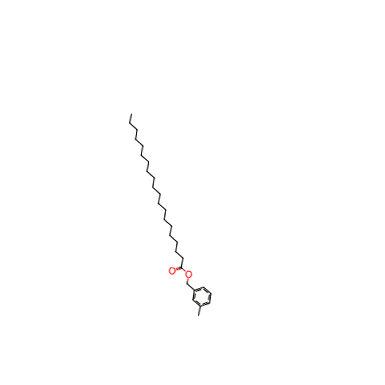 CCCCCCCCCCCCCCCCCCCC(=O)OCc1cccc(C)c1